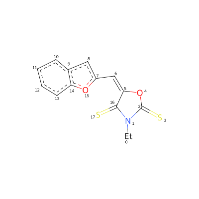 CCN1C(=S)OC(=Cc2cc3ccccc3o2)C1=S